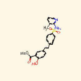 COC(=O)c1cc(/C=C/c2ccc(S(=O)(=O)Nc3ncccc3C)cc2)ccc1O